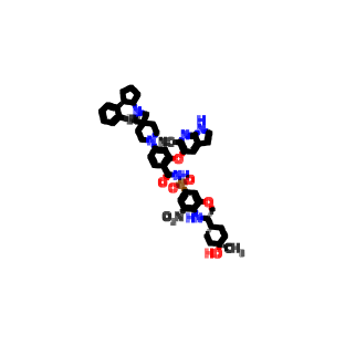 CC(C)c1ccccc1[C@H]1CCC[C@H]1N1CC2(CCN(c3ccc(C(=O)NS(=O)(=O)c4cc5c(c([N+](=O)[O-])c4)N[C@@H]([C@H]4CC[C@](C)(O)CC4)CO5)c(Oc4cc5cc[nH]c5nc4C#N)c3)CC2)C1